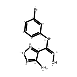 CCc1cccc(N/C(=N/O)c2nonc2N)c1